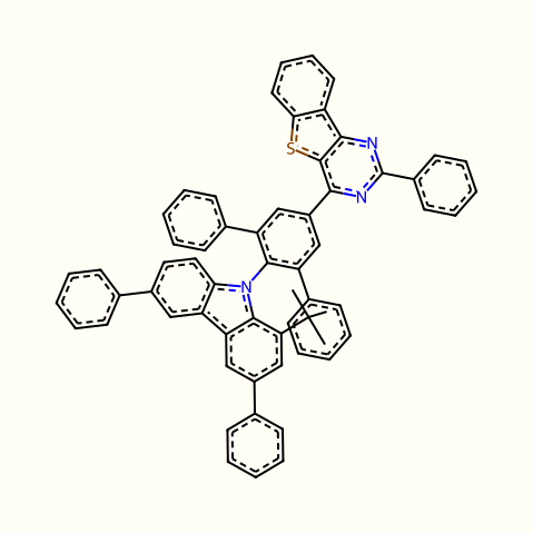 CC(C)(C)c1cc(-c2ccccc2)cc2c3cc(-c4ccccc4)ccc3n(-c3c(-c4ccccc4)cc(-c4nc(-c5ccccc5)nc5c4sc4ccccc45)cc3-c3ccccc3)c12